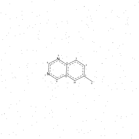 [CH2]c1ccc2ncncc2c1